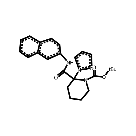 CC(C)(C)OC(=O)N1CCCCC1(C(=O)Nc1ccc2ccccc2c1)n1cccn1